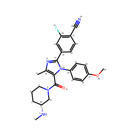 CN[C@@H]1CCCN(C(=O)c2c(C)nc(-c3ccc(C#N)c(F)c3)n2-c2ccc(OC)cc2)C1